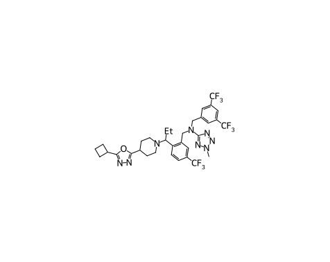 CCC(c1ccc(C(F)(F)F)cc1CN(Cc1cc(C(F)(F)F)cc(C(F)(F)F)c1)c1nnn(C)n1)N1CCC(c2nnc(C3CCC3)o2)CC1